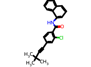 CC(C)(C)C#Cc1ccc(C(=O)Nc2cccc3ccccc23)c(Cl)c1